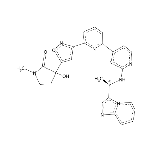 C[C@@H](Nc1nccc(-c2cccc(-c3cc(C4(O)CCN(C)C4=O)on3)n2)n1)c1cnc2ccccn12